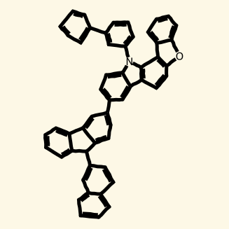 c1ccc(-c2cccc(-n3c4ccc(-c5ccc6c(c5)-c5ccccc5C6c5ccc6ccccc6c5)cc4c4ccc5oc6ccccc6c5c43)c2)cc1